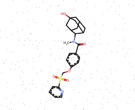 CN(C(=O)c1ccc(OCS(=O)(=O)c2ccccn2)cc1)C1C2CC3CC1CC(O)(C3)C2